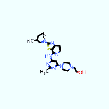 Cc1nc(Nc2nccc3nc(N4CCCC(C#N)C4)sc23)cc(N2CCN(CCO)CC2)n1